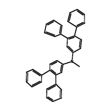 CN(c1ccc(-c2ccccc2)c(-c2ccccc2)c1)c1ccc(-c2ccccc2)c(-c2ccccc2)c1